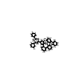 c1ccc(-c2nc(-c3ccccc3)nc(-c3cc4c5c(c3)-c3ccccc3-c3ccccc3N5c3c(ccc5c3oc3ccccc35)O4)n2)cc1